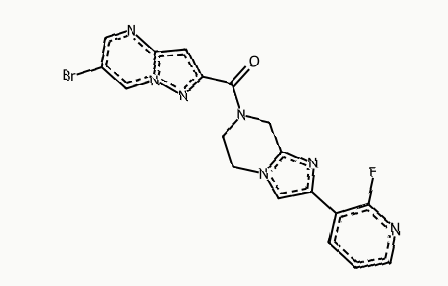 O=C(c1cc2ncc(Br)cn2n1)N1CCn2cc(-c3cccnc3F)nc2C1